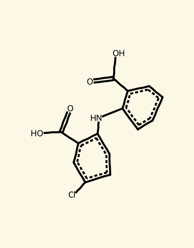 O=C(O)c1ccccc1Nc1ccc(Cl)cc1C(=O)O